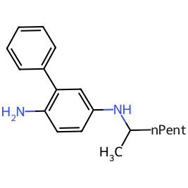 CCCCCC(C)Nc1ccc(N)c(-c2ccccc2)c1